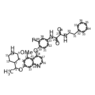 COc1cc(OC(C)C2CCNCC2)cc2nccc(Oc3ccc(NC(=O)C(=O)NCCc4ccccc4)cc3F)c12